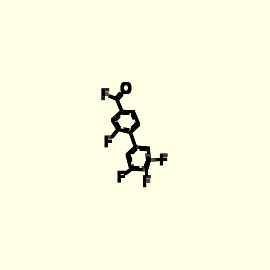 O=C(F)c1ccc(-c2cc(F)c(F)c(F)c2)c(F)c1